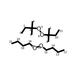 CCC(C)(C)OOC(C)(C)CC.CCCCOOCCCC